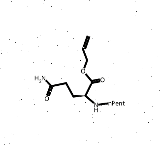 C=CCOC(=O)[C@H](CCC(N)=O)NCCCCC